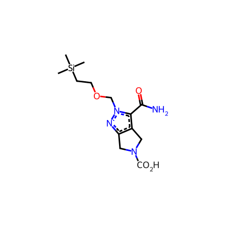 C[Si](C)(C)CCOCn1nc2c(c1C(N)=O)CN(C(=O)O)C2